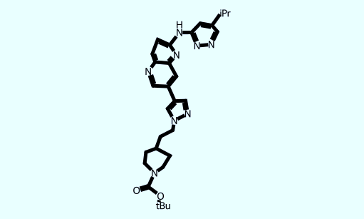 CC(C)c1cnnc(Nc2ccc3ncc(-c4cnn(CCC5CCN(C(=O)OC(C)(C)C)CC5)c4)cc3n2)c1